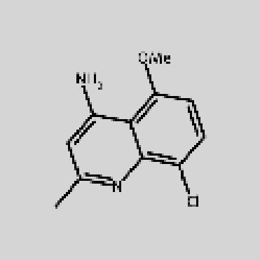 COc1ccc(Cl)c2nc(C)cc(N)c12